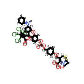 CN(c1ccccc1)c1ccc2c(c1)Oc1cc(OC(=O)OCc3ccc(OCC4=C(C(=O)O)N5CCC5SC4)cc3)ccc1C21OC(=O)c2c(Cl)c(Cl)c(Cl)c(Cl)c21